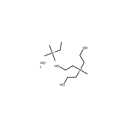 CC[N+](C)(C)C.C[N+](CCO)(CCO)CCO.[I-].[OH-]